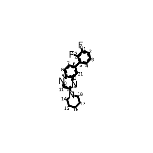 Fc1cccc(-c2ccc3ncc(N4CCCCC4)nc3c2)c1F